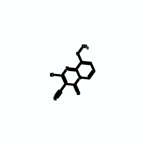 COc1cccn2c(=O)c(C#N)c(Cl)nc12